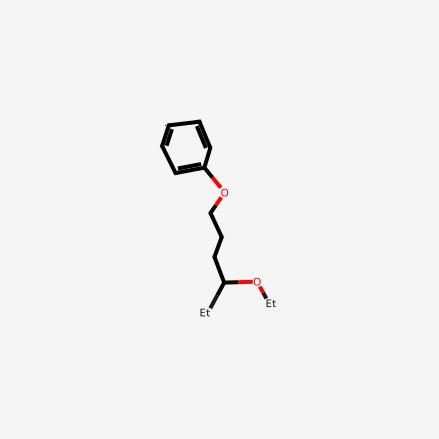 CCOC(CC)CCCOc1cc[c]cc1